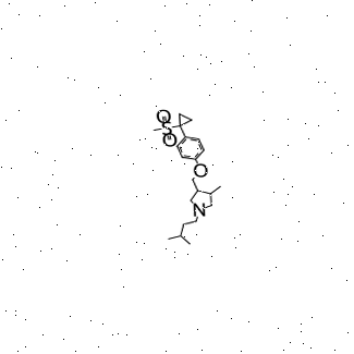 CC(C)CCN1CC(C)C(COc2ccc(C3(S(C)(=O)=O)CC3)cc2)C1